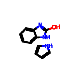 Oc1nc2ccccc2[nH]1.c1cc[nH]c1